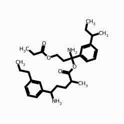 CCCc1cccc(C(N)CCC(C)C(=O)OC(N)(CCOC(=O)CC)c2cccc(C(C)CC)c2)c1